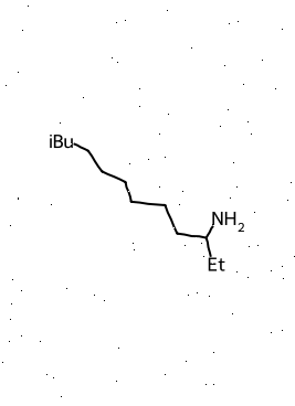 CCC(C)CCCCCCC(N)CC